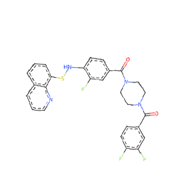 O=C(c1ccc(F)c(F)c1)N1CCN(C(=O)c2ccc(NSc3cccc4cccnc34)c(F)c2)CC1